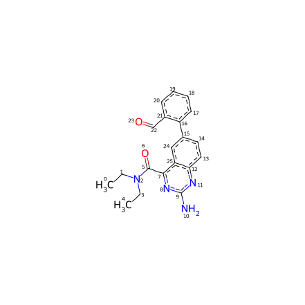 CCN(CC)C(=O)c1nc(N)nc2ccc(-c3ccccc3C=O)cc12